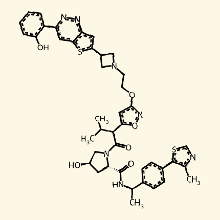 Cc1ncsc1-c1ccc(C(C)NC(=O)[C@@H]2C[C@@H](O)CN2C(=O)C(c2cc(OCCN3CC(c4cc5nnc(-c6ccccc6O)cc5s4)C3)no2)C(C)C)cc1